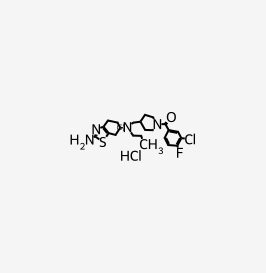 CCCN(CC1CCN(C(=O)c2ccc(F)c(Cl)c2)CC1)[C@H]1CCc2nc(N)sc2C1.Cl